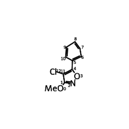 COc1noc(-c2ccccc2)c1Cl